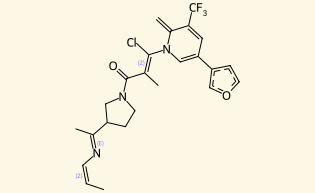 C=C1C(C(F)(F)F)=CC(c2ccoc2)=CN1/C(Cl)=C(\C)C(=O)N1CCC(/C(C)=N/C=C\C)C1